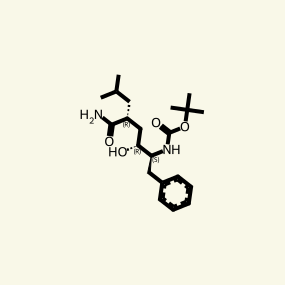 CC(C)C[C@H](C[C@@H](O)[C@H](Cc1ccccc1)NC(=O)OC(C)(C)C)C(N)=O